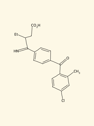 CCC(CC(=O)O)C(=N)c1ccc(C(=O)c2ccc(Cl)cc2C)cc1